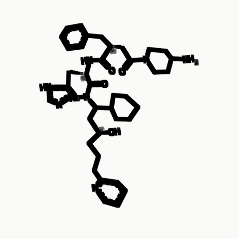 CC(=O)N(C(=O)[C@H](Cc1cnc[nH]1)NC(=O)[C@@H](CC(=O)N1CCC(N)CC1)Cc1ccccc1)C(C[C@@H](O)CCCc1ccccn1)C1CCCCC1